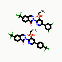 CCS(=O)(=O)c1cc(-c2cc(F)cc(F)c2)cnc1-n1ncc2cc(C(F)(F)F)ccc2c1=O.CCS(=O)(=O)c1cc(-c2ccc(C(F)(F)F)cc2)cnc1-n1ncc2cc(C(F)(F)F)ccc2c1=O